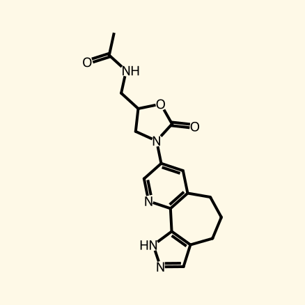 CC(=O)NCC1CN(c2cnc3c(c2)CCCc2cn[nH]c2-3)C(=O)O1